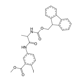 COC(=O)c1cc(NC(=O)C(C)NC(=O)OCC2c3ccccc3-c3ccccc32)ccc1I